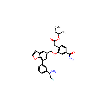 COCC(C)OC(=O)Cc1ccc(C(N)=O)cc1OCc1cc(-c2cccc(C(N)CF)c2)c2occc2c1